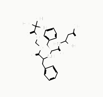 CC(C)(C)C(=O)OCOC(=O)C(Cc1ccccc1)N[C@@H](Cc1ccccc1)C(=O)NC(O)CC(=O)O